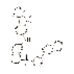 CC(C)(C1=c2cc(Nc3ccc4c(c3)C(C)(C)c3ccccc3-4)ccc2=CCC1)c1cccc(-c2ccc3ccccc3c2)c1